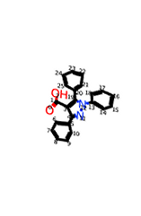 O=C(O)c1c(-c2ccccc2)nn(-c2ccccc2)c1-c1ccccc1